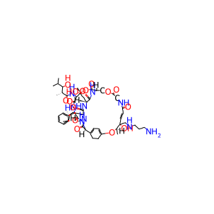 CC[C@H](C)[C@H]1NC(=O)[C@@H](NC(=O)[C@H](C)[C@H](O)C(C)C)[C@@H](C)OC(=O)[C@@H]2COC(=O)CNC(=O)/C=C/[C@](O)(CNCCCN)[C@@H](C)OC3=CC=C(CC3)[C@H](NC1=O)C(=O)N(C)[C@@H](Cc1ccccc1)C(=O)N[C@H]([C@@H](C)O)C(=O)N2